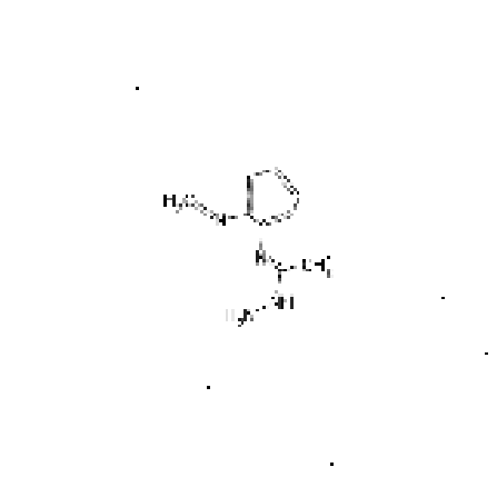 C=Nc1ccccc1/N=C(\C)NN